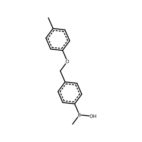 CB(O)c1ccc(COc2ccc(C)cc2)cc1